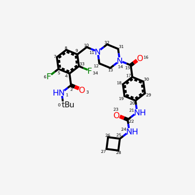 CC(C)(C)NC(=O)c1c(F)ccc(CN2CCN(C(=O)c3ccc(NC(=O)NC4CCC4)cc3)CC2)c1F